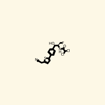 N#CCc1ccc(-c2ccc([C@@H](O)[C@@H](CF)NC(=O)C(Cl)Cl)cc2)s1